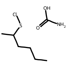 CCCCC(C)SCl.NC(=O)O